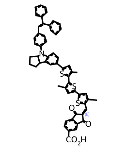 Cc1cc(-c2cc(C)c(-c3sc(-c4ccc5c(c4)C4CCCC4N5c4ccc(C=C(c5ccccc5)c5ccccc5)cc4)cc3C)s2)sc1/C=C1\C(=O)c2ccc(C(=O)O)cc2C1=O